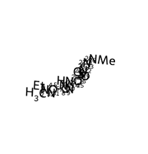 CCN(C)c1ccc(-c2ccnc(Nc3cccc(S(=O)(=O)N4CCN(CNC)CC4)c3)n2)cn1